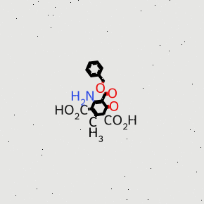 CC1=C(C(=O)O)C(N)=C(C(=O)OCc2ccccc2)C(=O)C1C(=O)O